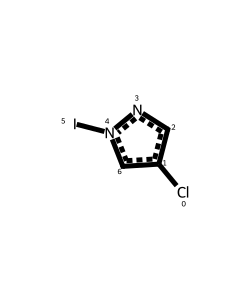 Clc1cnn(I)c1